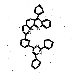 CC12N=C(c3cccc(-c4cc(-c5ccccc5)nc(-c5ccccc5)n4)c3)C=CC1C=Cc1c2nc2ccccc2c1-c1ccccc1